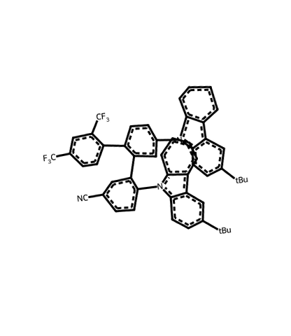 CC(C)(C)c1ccc2c(c1)c1ccccc1n2-c1ccc(-c2ccc(C(F)(F)F)cc2C(F)(F)F)c(-c2cc(C#N)ccc2-n2c3ccccc3c3cc(C(C)(C)C)ccc32)c1